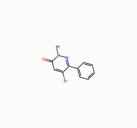 CC(C)n1nc(-c2ccccc2)c(Br)cc1=O